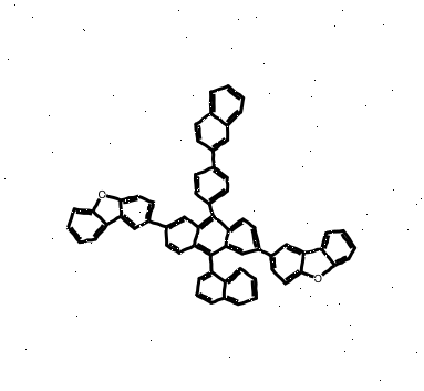 c1ccc2cc(-c3ccc(-c4c5cc(-c6ccc7oc8ccccc8c7c6)ccc5c(-c5cccc6ccccc56)c5cc(-c6ccc7oc8ccccc8c7c6)ccc45)cc3)ccc2c1